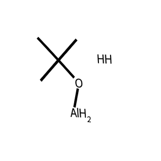 CC(C)(C)[O][AlH2].[HH]